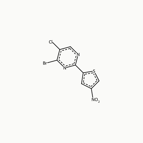 O=[N+]([O-])c1csc(-c2ncc(Cl)c(Br)n2)c1